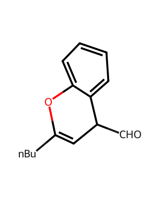 CCCCC1=CC(C=O)c2ccccc2O1